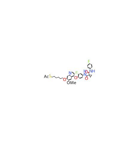 COc1cc2c(Oc3ccc(NC(=O)C4(C(=O)Nc5ccc(F)cc5)CC4)cc3F)ccnc2cc1OCCCCCCSC(C)=O